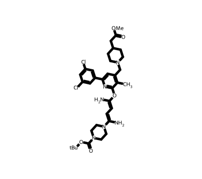 COC(=O)CC1CCN(Cc2cc(-c3cc(Cl)cc(Cl)c3)nc(O/C(N)=C/C=C(\N)N3CCN(C(=O)OC(C)(C)C)CC3)c2C)CC1